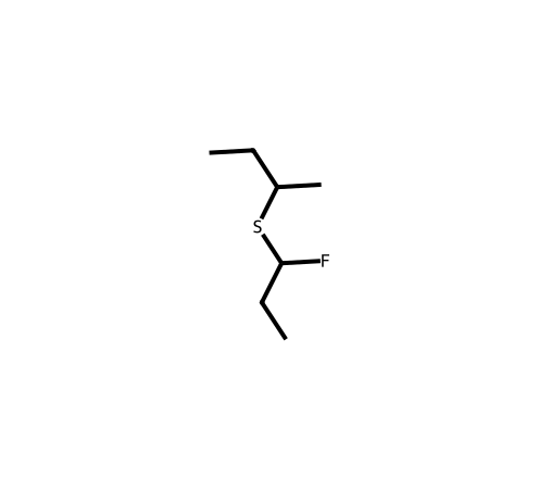 CCC(C)SC(F)CC